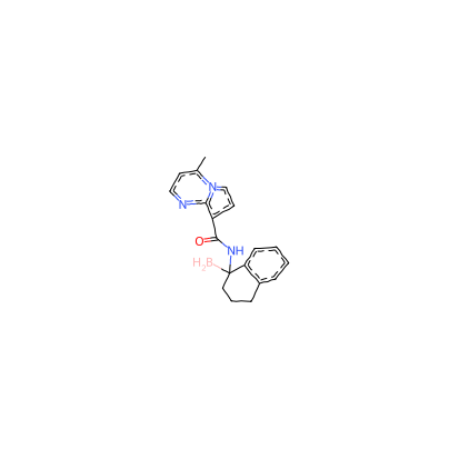 BC1(NC(=O)c2ccn3c(C)ccnc23)CCCc2ccccc21